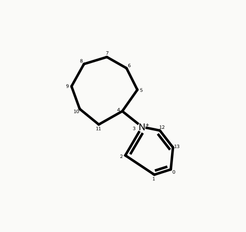 c1cc[n+](C2CCCCCCC2)cc1